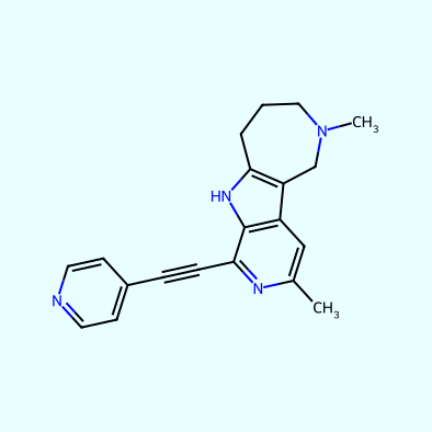 Cc1cc2c3c([nH]c2c(C#Cc2ccncc2)n1)CCCN(C)C3